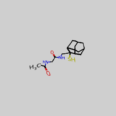 CC(=O)NCC(=O)NCC1(S)C2CC3CC(C2)CC1C3